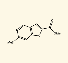 COC(=O)c1cc2cnc(SC)cc2s1